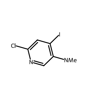 CNc1cnc(Cl)cc1I